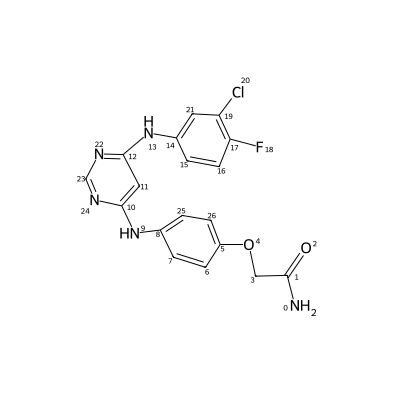 NC(=O)COc1ccc(Nc2cc(Nc3ccc(F)c(Cl)c3)ncn2)cc1